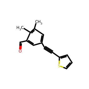 Cc1cc(C#Cc2cccs2)cc(C=O)c1C